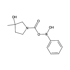 CC1(O)CCN(C(=O)OB(O)c2ccccc2)C1